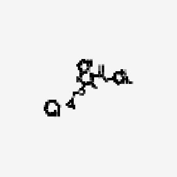 Cc1c(OC[C@H]2C[C@@H]2C2CC=CC=N2)nc2ccnn2c1NCc1cnn(C)c1